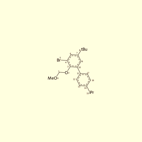 COCOc1c(Br)cc(C(C)(C)C)cc1-c1ccc(C(C)C)cc1